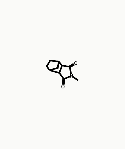 CN1C(=O)C2C3CCC(C3)C2C1=O